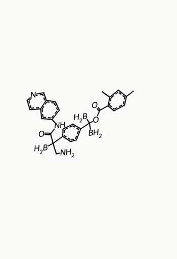 BC(B)(OC(=O)c1ccc(C)cc1C)c1ccc(C(B)(CN)C(=O)Nc2ccc3cnccc3c2)cc1